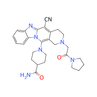 N#Cc1c2c(c(N3CCC(C(N)=O)CC3)n3c1nc1ccccc13)CN(CC(=O)N1CCCC1)CC2